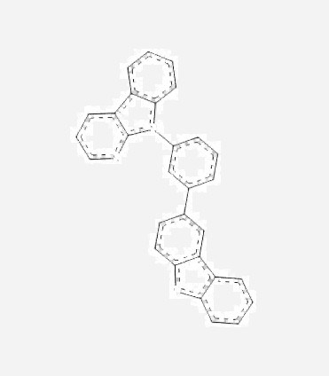 c1cc(-c2ccc3sc4ccccc4c3c2)cc(-n2c3ccccc3c3cccnc32)c1